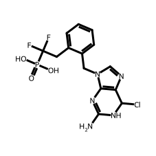 NC1=Nc2c(ncn2Cc2ccccc2CC(F)(F)P(=O)(O)O)C(Cl)N1